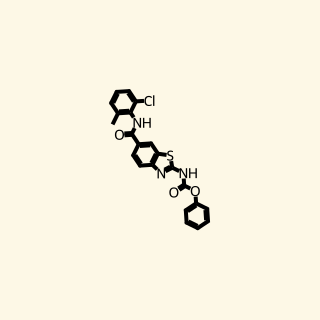 Cc1cccc(Cl)c1NC(=O)c1ccc2nc(NC(=O)Oc3ccccc3)sc2c1